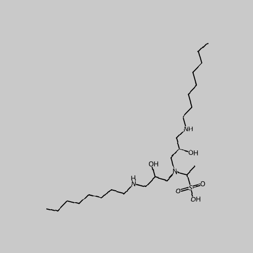 CCCCCCCCNCC(O)CN(CC(O)CNCCCCCCCC)C(C)S(=O)(=O)O